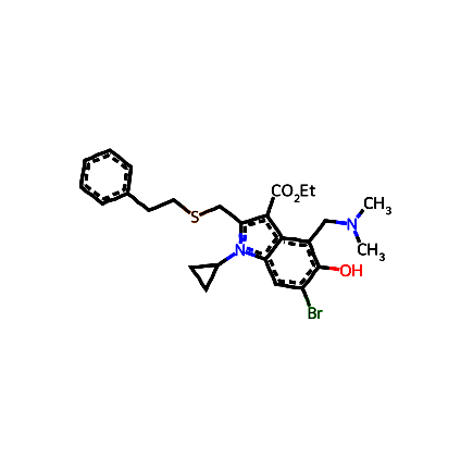 CCOC(=O)c1c(CSCCc2ccccc2)n(C2CC2)c2cc(Br)c(O)c(CN(C)C)c12